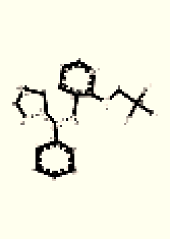 FC(F)(F)COc1ncccc1O[C@H](c1ccccc1)[C@@H]1CCNC1